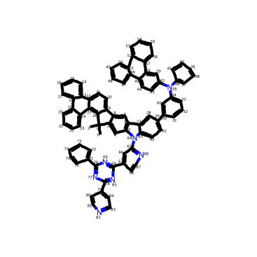 CC1(C)c2cc3c(cc2-c2ccc4c5ccccc5c5ccccc5c4c21)c1cc(-c2cccc(N(c4ccccc4)c4ccc5c6ccccc6c6ccccc6c5c4)c2)ccc1n3-c1cc(-c2nc(-c3ccccc3)nc(-c3ccncc3)n2)ccn1